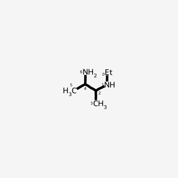 CCNC(C)C(C)N